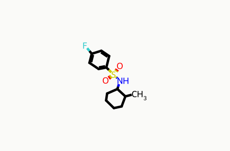 CC1CCCCC1NS(=O)(=O)c1ccc(F)cc1